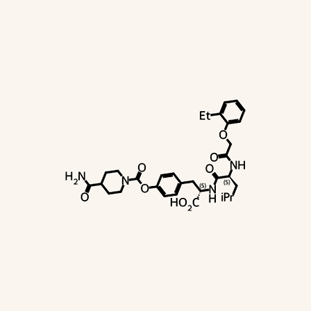 CCc1ccccc1OCC(=O)N[C@@H](CC(C)C)C(=O)N[C@@H](Cc1ccc(OC(=O)N2CCC(C(N)=O)CC2)cc1)C(=O)O